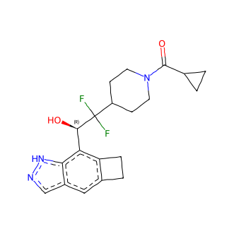 O=C(C1CC1)N1CCC(C(F)(F)[C@H](O)c2c3c(cc4cn[nH]c24)CC3)CC1